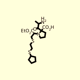 CCOC(=O)[C@H](CSCCSC1CCCC1)N1CCCC1(C(=O)O)C(=O)C(C)N